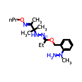 CCCON=C(C)C(C)(C)N/N=C(\CC)OCc1ccccc1N(C)N